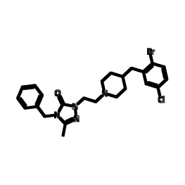 Cc1nn(CCN2CCC(Cc3cc(Cl)ccc3Br)CC2)c(=O)n1Cc1ccccc1